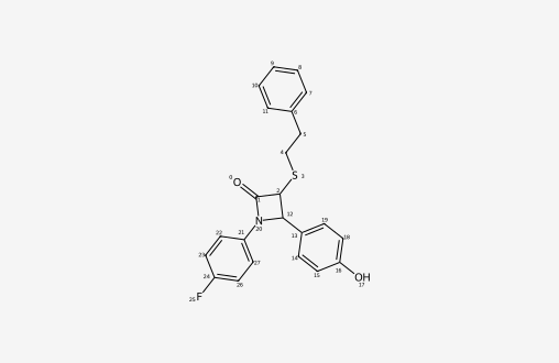 O=C1C(SCCc2ccccc2)C(c2ccc(O)cc2)N1c1ccc(F)cc1